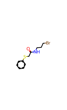 O=C(CSc1ccccc1)NCCCBr